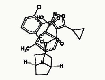 Cc1cc(C(=O)O)ccc1N1[C@@H]2CC[C@H]1C[C@@H](OC(=O)c1c(-c3c(Cl)cccc3Cl)noc1C1CC1)C2